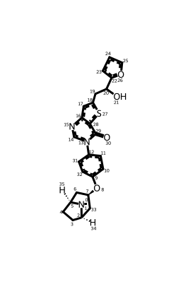 CN1[C@@H]2CC[C@H]1C[C@@H](Oc1ccc(-n3cnc4cc(CC(O)c5ccco5)sc4c3=O)cc1)C2